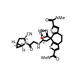 CNC(=O)c1cc2c(s1)C(C[C@H](C)NCC(=O)N1[C@H](C#N)C[C@@H]3C[C@@H]31)(c1nn[nH]n1)c1sc(C(=O)NC)cc1CC2